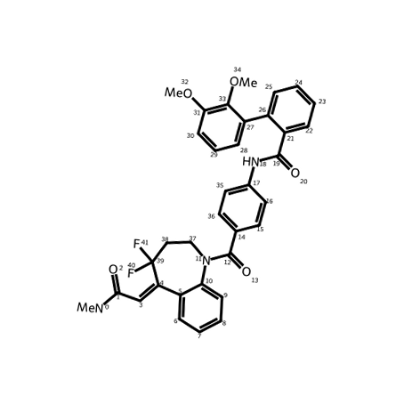 CNC(=O)C=C1c2ccccc2N(C(=O)c2ccc(NC(=O)c3ccccc3-c3cccc(OC)c3OC)cc2)CCC1(F)F